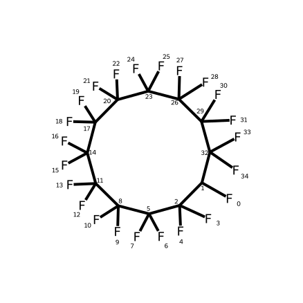 FC1C(F)(F)C(F)(F)C(F)(F)C(F)(F)C(F)(F)C(F)(F)C(F)(F)C(F)(F)C(F)(F)C(F)(F)C1(F)F